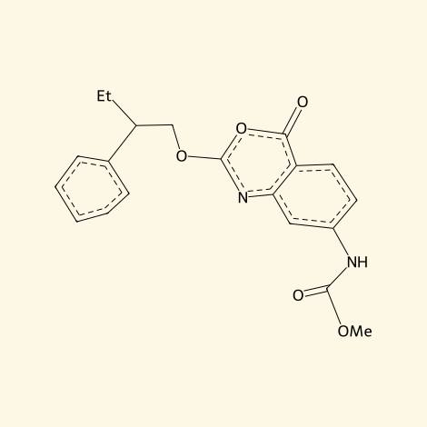 CCC(COc1nc2cc(NC(=O)OC)ccc2c(=O)o1)c1ccccc1